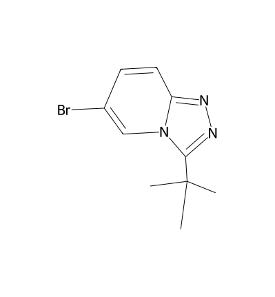 CC(C)(C)c1nnc2ccc(Br)cn12